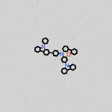 c1ccc(-n2c3ccccc3c3ccc(-c4ccc(N(c5ccc(-n6c7ccccc7c7ccccc76)cc5)c5cccc6c5oc5ccccc56)cc4)cc32)cc1